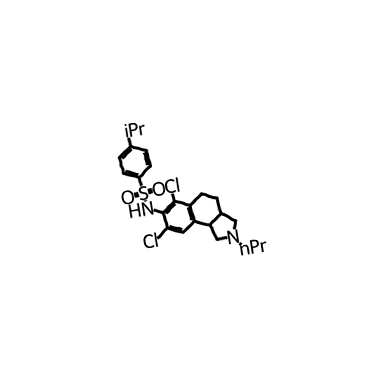 CCCN1CC2CCc3c(cc(Cl)c(NS(=O)(=O)c4ccc(C(C)C)cc4)c3Cl)C2C1